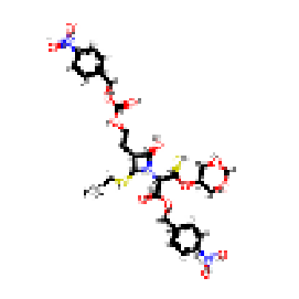 CCSC1C(CCOC(=O)OCc2ccc([N+](=O)[O-])cc2)C(=O)N1C(C(=O)OCc1ccc([N+](=O)[O-])cc1)C(=S)OC1COCOC1